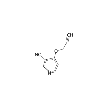 C#CCOc1ccncc1C#N